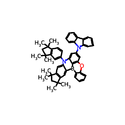 CC1(C)CC(C)(C)c2cc(N3c4cc5c(cc4B4c6ccccc6Oc6cc(-n7c8ccccc8c8ccccc87)cc3c64)C(C)(C)CC5(C)C)ccc21